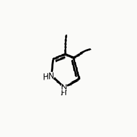 CC1=CNNC=C1C